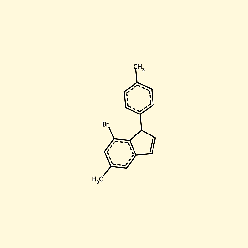 Cc1ccc(C2C=Cc3cc(C)cc(Br)c32)cc1